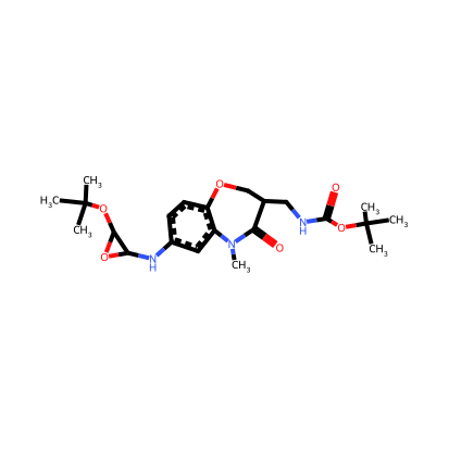 CN1C(=O)C(CNC(=O)OC(C)(C)C)COc2ccc(NC3OC3OC(C)(C)C)cc21